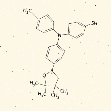 Cc1ccc(N(c2ccc(S)cc2)c2ccc(B3CC(C)(C)C(C)(C)O3)cc2)cc1